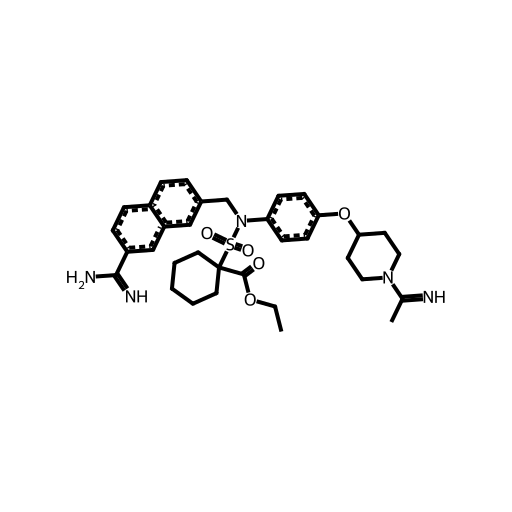 CCOC(=O)C1(S(=O)(=O)N(Cc2ccc3ccc(C(=N)N)cc3c2)c2ccc(OC3CCN(C(C)=N)CC3)cc2)CCCCC1